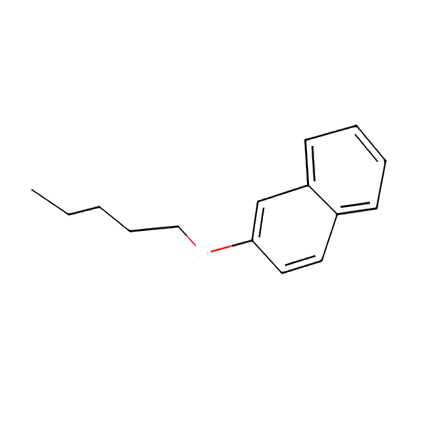 CCCCCOc1ccc2ccccc2c1